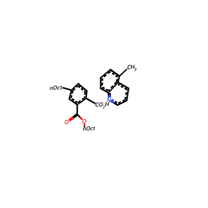 CCCCCCCCOC(=O)c1cc(CCCCCCCC)ccc1C(=O)O.Cc1cccc2ncccc12